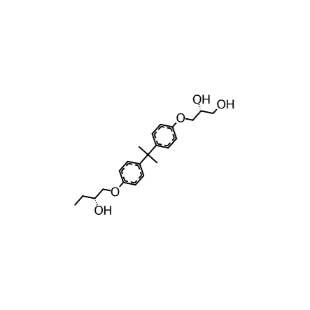 CC[C@@H](O)COc1ccc(C(C)(C)c2ccc(OC[C@H](O)CO)cc2)cc1